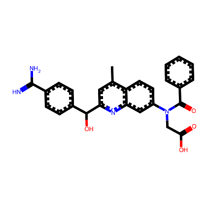 Cc1cc(C(O)c2ccc(C(=N)N)cc2)nc2cc(N(CC(=O)O)C(=O)c3ccccc3)ccc12